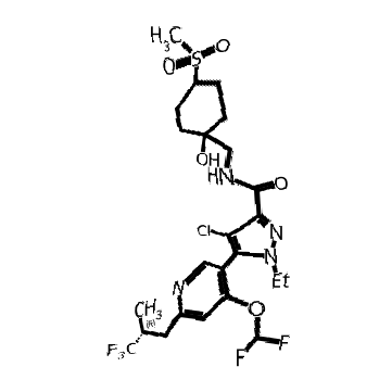 CCn1nc(C(=O)NCC2(O)CCC(S(C)(=O)=O)CC2)c(Cl)c1-c1cnc(C[C@@H](C)C(F)(F)F)cc1OC(F)F